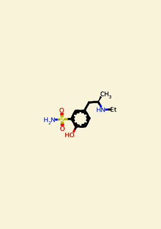 CCN[C@H](C)Cc1ccc(O)c(S(N)(=O)=O)c1